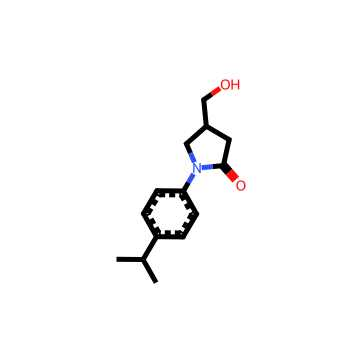 CC(C)c1ccc(N2CC(CO)CC2=O)cc1